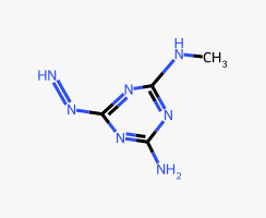 CNc1nc(N)nc(N=N)n1